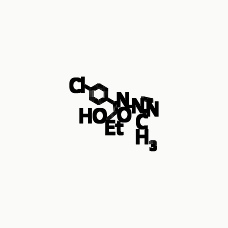 CCC(O)c1oc(-n2ccnc2C)nc1-c1ccc(Cl)cc1